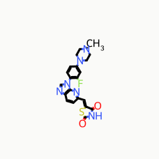 CN1CCN(c2ccc(-n3cnc4ccc(/C=C5\SC(=O)NC5=O)nc43)c(F)c2)CC1